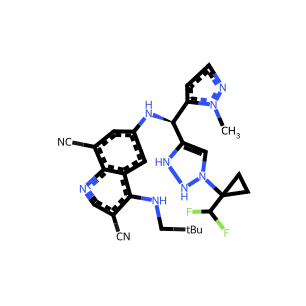 Cn1nccc1[C@H](Nc1cc(C#N)c2ncc(C#N)c(NCC(C)(C)C)c2c1)C1=CN(C2(C(F)F)CC2)NN1